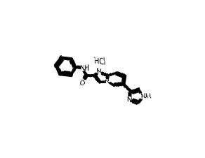 Cl.O=C(Nc1ccccc1)c1cn2cc(-c3c[nH]cn3)ccc2n1